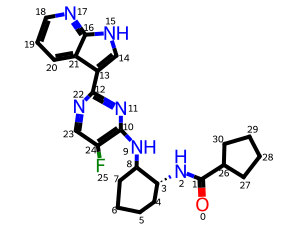 O=C(N[C@@H]1CCCCC1Nc1nc(-c2c[nH]c3ncccc23)ncc1F)C1CCCC1